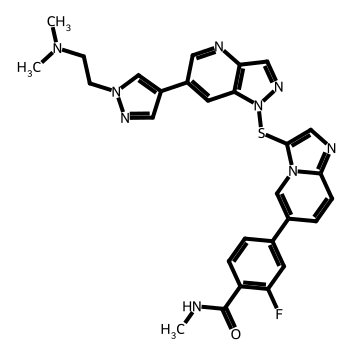 CNC(=O)c1ccc(-c2ccc3ncc(Sn4ncc5ncc(-c6cnn(CCN(C)C)c6)cc54)n3c2)cc1F